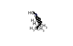 CC(C)CCC[C@@H](C)[C@H]1CCC2C3CCC4CC(O/C=C\CCO)CC[C@]4(C)C3CC[C@@]21C